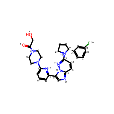 O=C(CO)N1CCN(c2cccc(-c3cnc4ccc(N5CCC[C@@H]5c5cccc(F)c5)nn34)n2)CC1